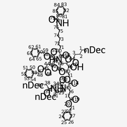 CCCCCCCCCCCCCC(=O)O[C@H]1[C@H](O)[C@@H](COC(=O)[C@@H](CCC(=O)OCc2ccccc2)N(CCCCCCCCCCCC)C(=O)CNC(=O)CCCCCCCCCCC)O[C@H](OC(CC(=O)OCc2ccccc2)CC(=O)OCc2ccccc2)[C@@H]1NC(=O)CCCCCCCNC(=O)c1ccccc1